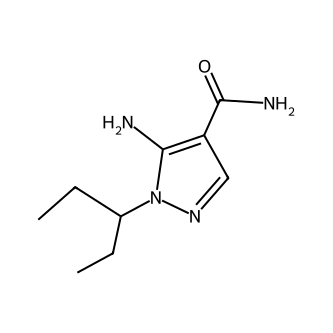 CCC(CC)n1ncc(C(N)=O)c1N